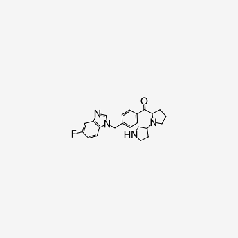 O=C(c1ccc(Cn2cnc3cc(F)ccc32)cc1)C1CCCN1C1CCNC1